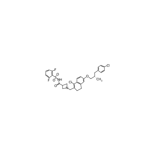 C[C@H](COc1ccc2c(c1)CCC(CN1CC(C(=O)NS(=O)(=O)c3c(F)cccc3F)C1)=C2Cl)Cc1ccc(Cl)cc1